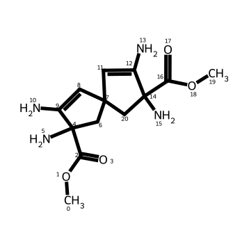 COC(=O)C1(N)CC2(C=C1N)C=C(N)C(N)(C(=O)OC)C2